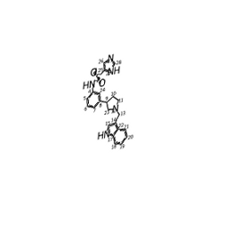 O=S(=O)(Nc1cccc(C2CCN(Cc3c[nH]c4ccccc34)C2)c1)c1cnc[nH]1